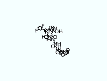 CC(C)(C)[C@H](c1cc(-c2cc(F)ccc2F)cn1Cc1ccccc1)N(CC[C@H](N)C(=O)NCCNC(=O)CC[C@H](NC(=O)CN1C(=O)C=CC1=O)C(=O)O)C(=O)CO